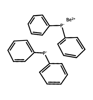 [Be+2].c1ccc([P-]c2ccccc2)cc1.c1ccc([P-]c2ccccc2)cc1